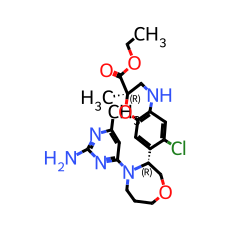 CCOC(=O)[C@@]1(C)CNc2cc(Cl)c([C@@H]3COCCCN3c3cc(C)nc(N)n3)cc2O1